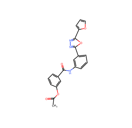 CC(=O)Oc1cccc(C(=O)Nc2cccc(-c3nnc(-c4ccco4)o3)c2)c1